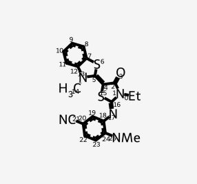 CCN1C(=O)C(=C2Sc3ccccc3N2C)SC1=Nc1cc(C#N)ccc1NC